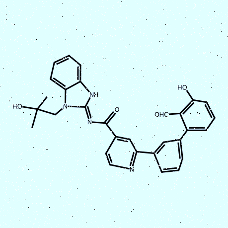 CC(C)(O)Cn1/c(=N/C(=O)c2ccnc(-c3cccc(-c4cccc(O)c4C=O)c3)c2)[nH]c2ccccc21